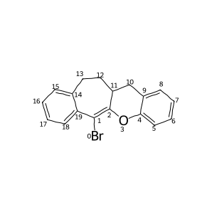 BrC1=C2Oc3ccccc3CC2CCc2ccccc21